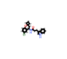 O=C(CCc1c[nH]c2ccccc12)NC1CC2(CCC2)Oc2ccc(Cl)cc21